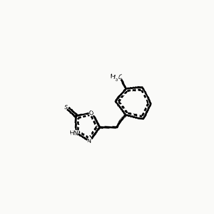 Cc1cccc(Cc2n[nH]c(=S)o2)c1